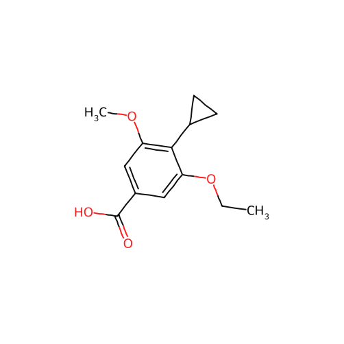 CCOc1cc(C(=O)O)cc(OC)c1C1CC1